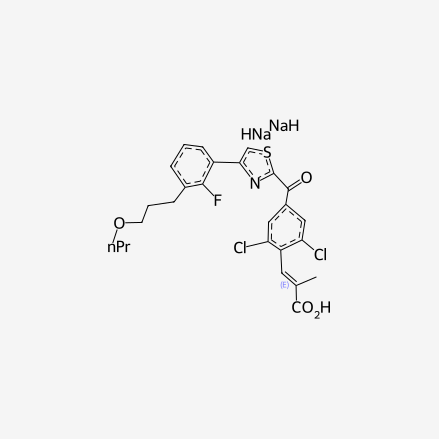 CCCOCCCc1cccc(-c2csc(C(=O)c3cc(Cl)c(/C=C(\C)C(=O)O)c(Cl)c3)n2)c1F.[NaH].[NaH]